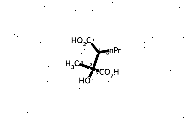 CCCC(C(=O)O)C(C)(O)C(=O)O